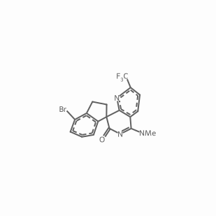 CNC1=NC(=O)C2(CCc3c(Br)cccc32)c2nc(C(F)(F)F)ccc21